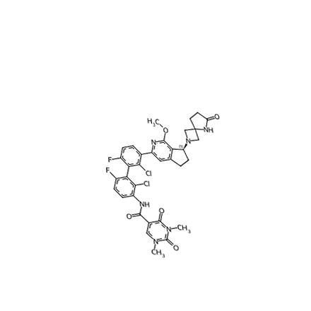 COc1nc(-c2ccc(F)c(-c3c(F)ccc(NC(=O)c4cn(C)c(=O)n(C)c4=O)c3Cl)c2Cl)cc2c1[C@@H](N1CC3(CCC(=O)N3)C1)CC2